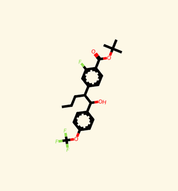 CCCC(c1ccc(C(=O)OC(C)(C)C)c(F)c1)C(O)c1ccc(OC(F)(F)F)cc1